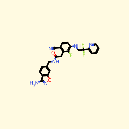 N#Cc1ccc(NCC(F)(F)c2ccccn2)c(F)c1CC(=O)NCc1ccc2c(N)noc2c1